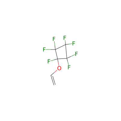 C=COC1(F)C(F)(F)C(F)(F)C1(F)F